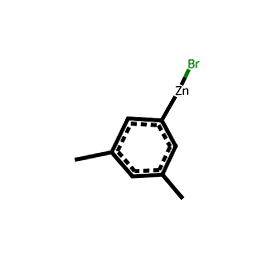 Cc1cc(C)c[c]([Zn][Br])c1